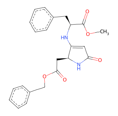 COC(=O)[C@H](Cc1ccccc1)NC1=CC(=O)N[C@H]1CC(=O)OCc1ccccc1